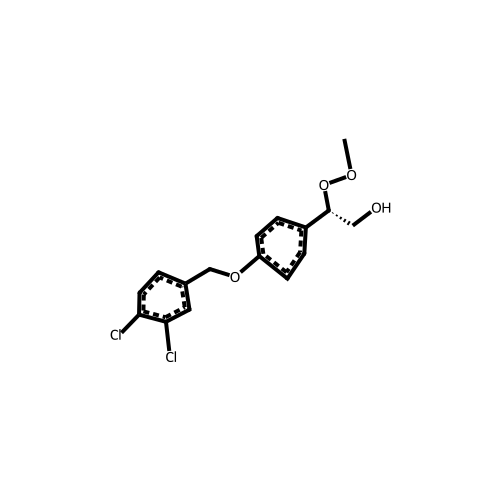 COO[C@H](CO)c1ccc(OCc2ccc(Cl)c(Cl)c2)cc1